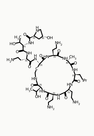 CC(C)C[C@@H]1NC(=O)[C@@H](C)NC(=O)[C@H](CCN)NC(=O)[C@@H](NC(=O)[C@H](CCN)NC(=O)[C@@H](NC(=O)[C@@H]2C[C@@H](O)CN2)C(C)O)CCNC(=O)[C@H](C(C)O)NC(=O)[C@H](CCN)NC(=O)[C@H](CCN)NC1=O